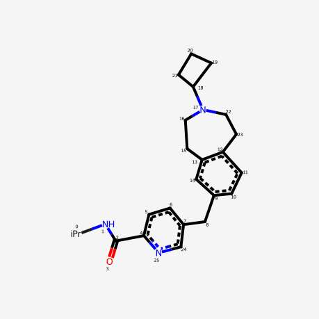 CC(C)NC(=O)c1ccc(Cc2ccc3c(c2)CCN(C2CCC2)CC3)cn1